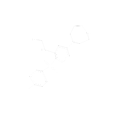 CCNc1cc(N2CCCNCC2)ccc1S(=O)(=O)c1ccc(F)cc1